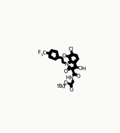 CC(C)(C)OC(=O)CNC(=O)c1c(O)c2ccc(Cl)c3c2n(c1=O)CC(c1ccc(C(F)(F)F)cc1)O3